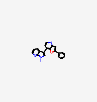 c1ccc(-c2cc3nccc(-c4c[nH]c5ncccc45)c3o2)cc1